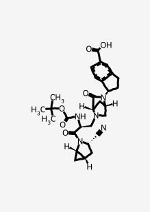 CC(C)(C)OC(=O)N[C@@H](CN1C[C@@H]2C[C@H]1C(=O)N2[C@@H]1CCc2cc(C(=O)O)ccc21)C(=O)N1[C@H](C#N)C[C@@H]2C[C@@H]21